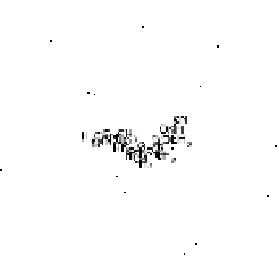 C=C(Br)C(=O)Nc1cc(C(=O)Nc2cc(C(=O)Nc3cc(C(=O)Nc4cc(C(=O)NCCC#N)n(C)c4)n(C)c3)n(C)n2)n(C)n1